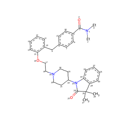 CCN(CC)C(=O)c1ccc(Cc2ccccc2OCCN2CCC(N3C(=O)C(C)(C)c4ccccc43)CC2)cc1